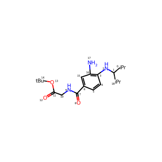 CC(C)C(Nc1ccc(C(=O)NCC(=O)OC(C)(C)C)cc1N)C(C)C